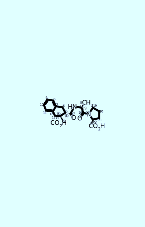 C[C@H](NC(=O)[C@H]1Cc2ccccc2C[C@@H]1C(=O)O)C(=O)N1CCC[C@H]1C(=O)O